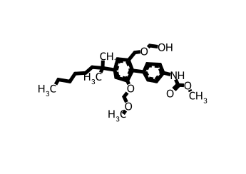 CCCCCCC(C)(C)c1cc(COCO)c(-c2ccc(NC(=O)OC)cc2)c(OCOC)c1